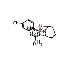 Nc1n[nH]c2c1C1CCCC(C2)N1S(=O)(=O)c1ccc(Cl)cc1